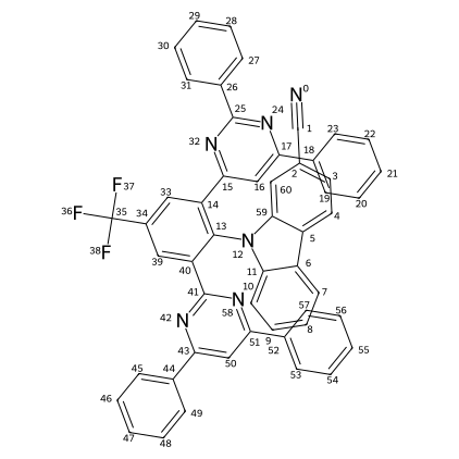 N#Cc1ccc2c3ccccc3n(-c3c(-c4cc(-c5ccccc5)nc(-c5ccccc5)n4)cc(C(F)(F)F)cc3-c3nc(-c4ccccc4)cc(-c4ccccc4)n3)c2c1